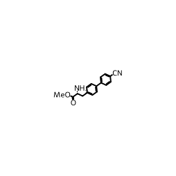 COC(=O)[C@H](N)Cc1ccc(-c2ccc(C#N)cc2)cc1